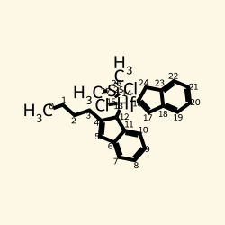 CCCCC1=Cc2ccccc2[CH]1[Hf]([Cl])([Cl])([C]1=Cc2ccccc2C1)=[Si](C)C